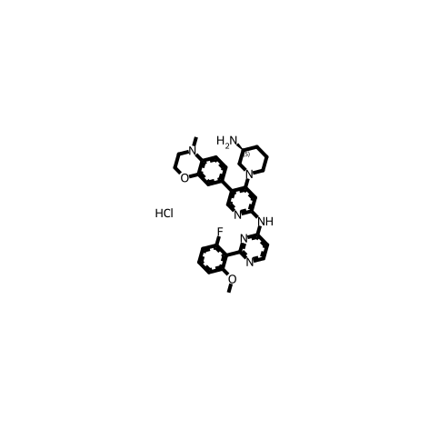 COc1cccc(F)c1-c1nccc(Nc2cc(N3CCC[C@H](N)C3)c(-c3ccc4c(c3)OCCN4C)cn2)n1.Cl